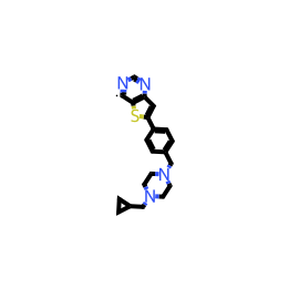 [c]1ncnc2cc(-c3ccc(CN4CCN(CC5CC5)CC4)cc3)sc12